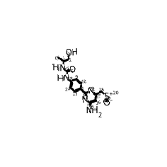 CC(CO)NC(=O)Nc1ccc(-c2nc(N)cc(C[S+](C)[O-])n2)cc1